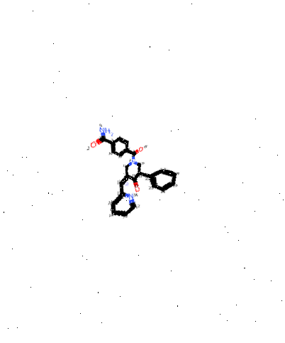 NC(=O)c1ccc(C(=O)N2C/C(=C/c3ccccn3)C(=O)C(c3ccccc3)C2)cc1